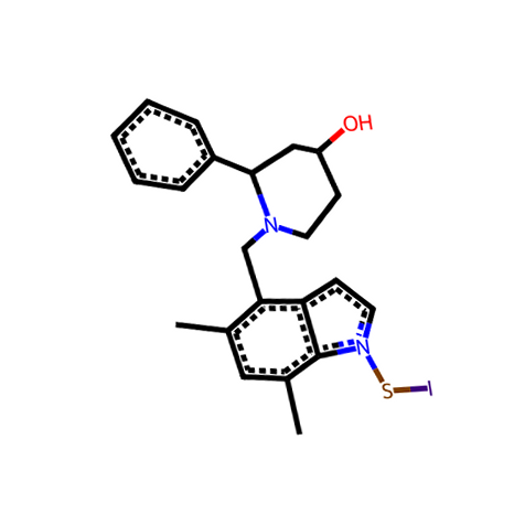 Cc1cc(C)c2c(ccn2SI)c1CN1CCC(O)CC1c1ccccc1